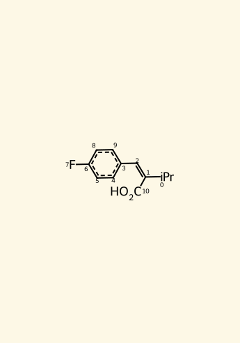 CC(C)C(=Cc1ccc(F)cc1)C(=O)O